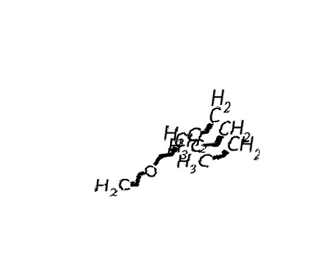 C=CC.C=CC.C=CC.C=CCOCC=C